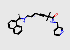 C[C@@H](NC/C=C/C#CC(C)(C)C(=O)NCc1cccnc1)c1cccc2ccccc12